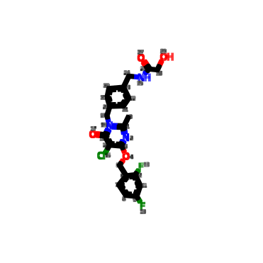 Cc1nc(OCc2ccc(F)cc2F)c(Cl)c(=O)n1Cc1ccc(CNC(=O)CO)cc1